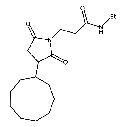 CCNC(=O)CCN1C(=O)CC(C2CCCCCCCC2)C1=O